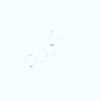 Nc1ccnc(Nc2ccc3c(c2)nc(C(F)(F)F)n3CCCO)n1